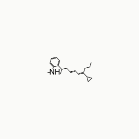 CCC/C(=C\C=CCC(C)c1ccccc1NC)C1CC1